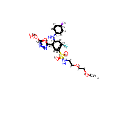 COCCOCCNS(=O)(=O)c1cc(-c2nnc(O)o2)c(Nc2ccc(I)cc2)cc1F